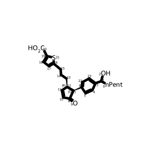 CCCCCC(O)c1ccc([C@H]2C(=O)C=C[C@H]2CCCc2ccc(C(=O)O)s2)cc1